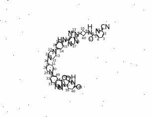 N#Cc1cccc(C(=O)NC2CC(n3cnc4c(Nc5ccc(N6CCN(CC7CCN(c8ccc9nnn([C@H]%10CCC(=O)NC%10=O)c(=O)c9c8)CC7)CC6)cc5)ncnc43)C2)n1